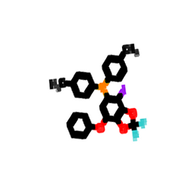 Cc1ccc(P(c2ccc(C)cc2)c2cc(Oc3ccccc3)c3c(c2I)OC(F)(F)O3)cc1